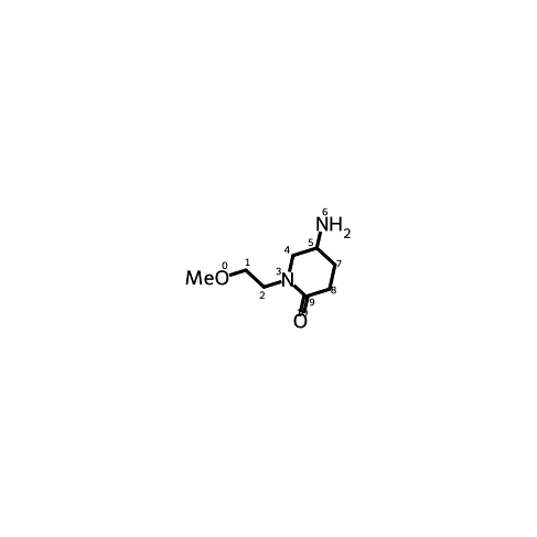 COCCN1CC(N)CCC1=O